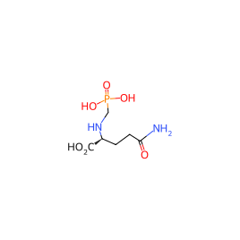 NC(=O)CC[C@H](NCP(=O)(O)O)C(=O)O